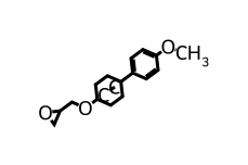 COc1ccc(C23CCC(OCC4CO4)(CC2)CC3)cc1